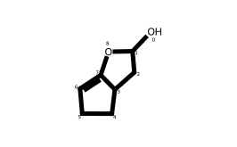 OC1CC2CCC=C2O1